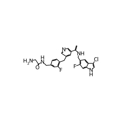 C=C(NCc1cc2c(Cl)c[nH]c2cc1F)c1cncc(Cc2ccc(CNC(=O)CN)cc2F)c1